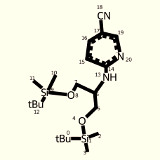 CC(C)(C)[Si](C)(C)OCC(CO[Si](C)(C)C(C)(C)C)Nc1ccc(C#N)cn1